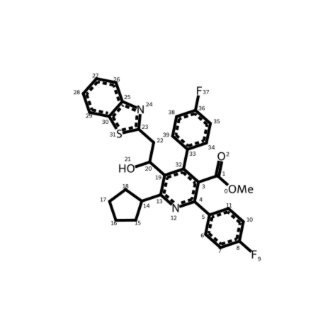 COC(=O)c1c(-c2ccc(F)cc2)nc(C2CCCC2)c(C(O)Cc2nc3ccccc3s2)c1-c1ccc(F)cc1